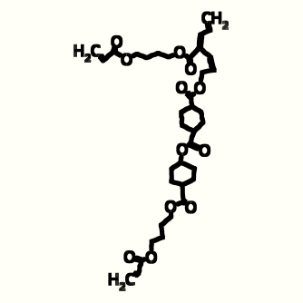 C=C/C=C(\C=C/COC(=O)C1CCC(C(=O)OC2CCC(C(=O)OCCCCOC(=O)C=C)CC2)CC1)C(=O)OCCCCOC(=O)C=C